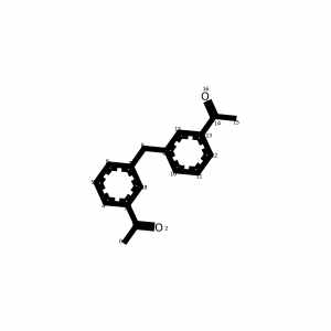 CC(=O)c1cccc(Cc2cccc(C(C)=O)c2)c1